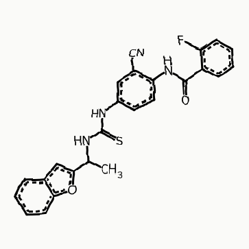 CC(NC(=S)Nc1ccc(NC(=O)c2ccccc2F)c(C#N)c1)c1cc2ccccc2o1